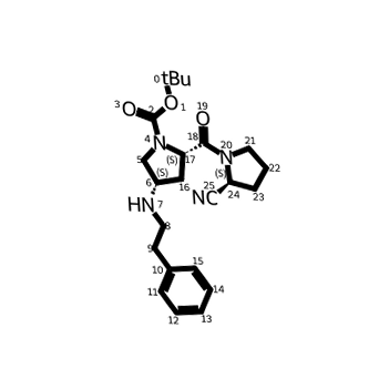 CC(C)(C)OC(=O)N1C[C@@H](NCCc2ccccc2)C[C@H]1C(=O)N1CCC[C@H]1C#N